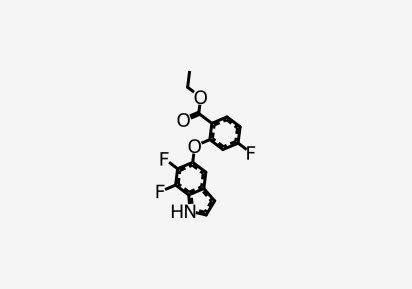 CCOC(=O)c1ccc(F)cc1Oc1cc2cc[nH]c2c(F)c1F